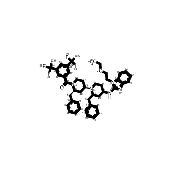 CCOCCn1c(NC2CCN([C@@H]3CCN(C(=O)c4cc(C(F)(F)F)cc(C(F)(F)F)c4)[C@H](Cc4ccccc4)C3)C(Cc3ccccc3)C2)nc2ccccc21